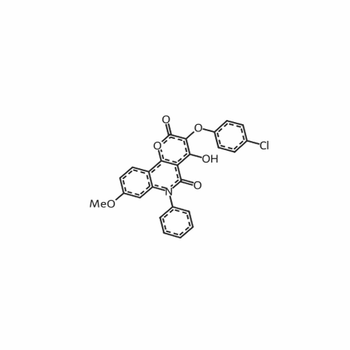 COc1ccc2c3oc(=O)c(Oc4ccc(Cl)cc4)c(O)c3c(=O)n(-c3ccccc3)c2c1